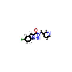 O=C(NCc1cccnc1)c1cc2cc(F)ccc2[nH]1